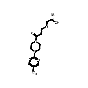 CC[C@H](O)COCCC(=O)N1CCN(c2ncc(C(F)(F)F)cn2)CC1